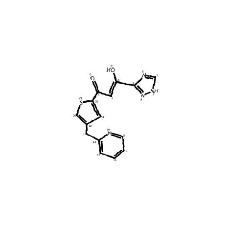 O=C(C=C(O)c1nc[nH]n1)c1cc(Cc2ccccn2)cs1